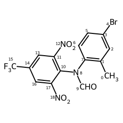 Cc1cc(Br)ccc1N(C=O)c1c([N+](=O)[O-])cc(C(F)(F)F)cc1[N+](=O)[O-]